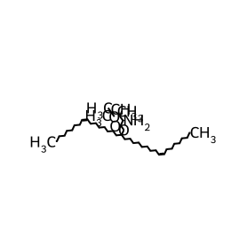 CCCCCCCC/C=C\CCCCCCCCC(CCCCCCC/C=C\CCCCCCCC)OC(=O)[C@@H](N)C(C)OC(C)(C)C